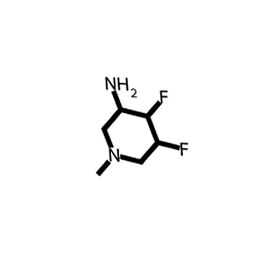 CN1CC(N)C(F)C(F)C1